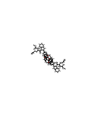 COC(=O)NC(CCC#N)C(=O)N1C(c2nc3cc(-c4cc5ccc4CCc4ccc(c(-c6ccc7[nH]c(C8CC9CCCCC9N8C(=O)C(CCC#N)NC(=O)OC)nc7c6)c4)C[C@H]5C)ccc3[nH]2)CC2CCCCC21